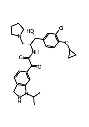 CC(C)N1NCc2ccc(C(=O)C(=O)N[C@H](CN3CCCC3)[C@H](O)c3ccc(OC4CC4)c(Cl)c3)cc21